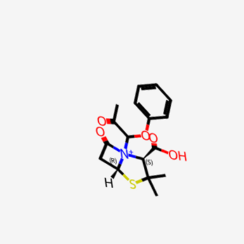 CC(=O)C(Oc1ccccc1)[N+]12C(=O)C[C@H]1SC(C)(C)[C@@H]2C(=O)O